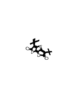 CC(C)(C)C1=c2sc3c(c2OC1=O)OC(=O)C=3C(C)(C)C